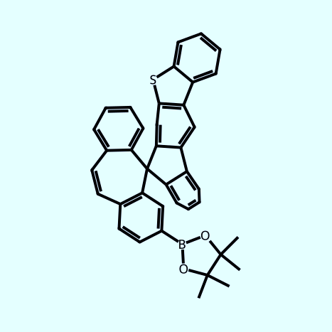 CC1(C)OB(c2ccc3c(c2)C2(c4ccccc4C=C3)c3ccccc3-c3cc4c(cc32)sc2ccccc24)OC1(C)C